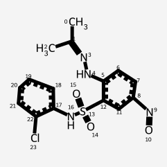 CC(C)=NNc1ccc(N=O)cc1S(=O)(=O)Nc1ccccc1Cl